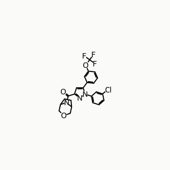 O=C(c1cc(-c2cccc(OC(F)(F)F)c2)n(-c2cccc(Cl)c2)n1)N1C2CCC1COC2